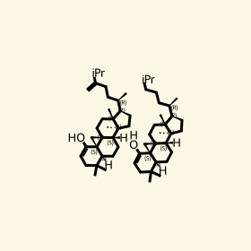 C=C(CC[C@@H](C)[C@H]1CC[C@@]2(C)[C@@H]3CC[C@H]4C(C)(C)CC=C(O)[C@@]45C[C@@]35CC[C@]12C)C(C)C.CC(C)CCC[C@@H](C)[C@H]1CC[C@@]2(C)[C@@H]3CC[C@H]4C(C)(C)CC=C(O)[C@@]45C[C@@]35CC[C@]12C